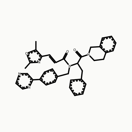 Cc1nc(C=CC(=O)N(Cc2ccc(-c3cnccn3)cc2)C(Cc2ccccc2)C(=O)N2CCc3ccccc3C2)c(C)o1